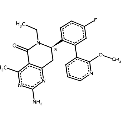 CCN1C(=O)c2c(C)nc(N)nc2C[C@@H]1c1ccc(F)cc1-c1cccnc1OC